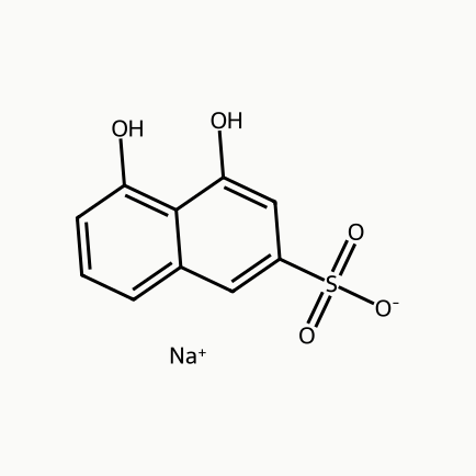 O=S(=O)([O-])c1cc(O)c2c(O)cccc2c1.[Na+]